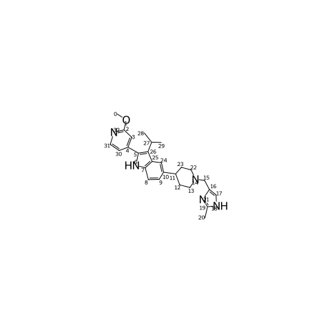 COc1cc(-c2[nH]c3ccc(C4CCN(Cc5c[nH]c(C)n5)CC4)cc3c2C(C)C)ccn1